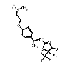 C[C@H](NC1=NC(=O)C(C)(C(F)(F)F)S1)c1ccc(OCCN(C)C)cc1